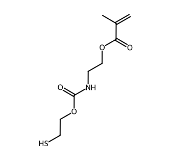 C=C(C)C(=O)OCCNC(=O)OCCS